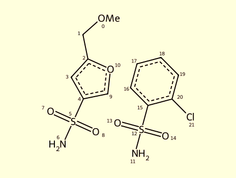 COCc1cc(S(N)(=O)=O)co1.NS(=O)(=O)c1ccccc1Cl